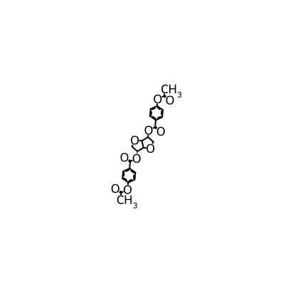 CC(=O)Oc1ccc(C(=O)OC2COC3C2OC[C@H]3OC(=O)c2ccc(OC(C)=O)cc2)cc1